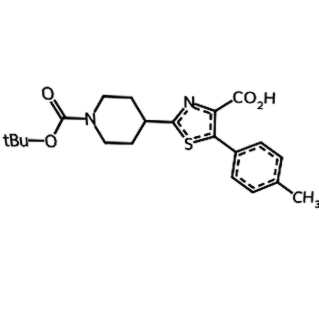 Cc1ccc(-c2sc(C3CCN(C(=O)OC(C)(C)C)CC3)nc2C(=O)O)cc1